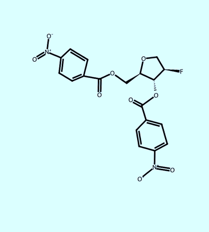 O=C(OC[C@H]1OC[C@@H](F)[C@@H]1OC(=O)c1ccc([N+](=O)[O-])cc1)c1ccc([N+](=O)[O-])cc1